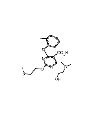 CN(C)CCO.Cc1ccccc1Oc1nc(OCCN(C)C)ncc1C(=O)O